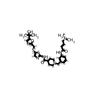 CN(C)C/C=C/C(=O)Nc1cccc(CN2CCC(C(=O)Nc3ncc(SCc4ncc(C(C)(C)C)o4)s3)CC2)c1